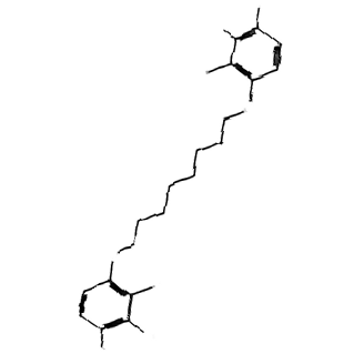 Oc1c(Cl)ccc(OCCCCCCCCOc2ccc(Cl)c(O)c2Cl)c1Cl